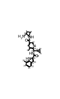 Cc1cc(C(=O)N[C@@H]2CC[C@@H]2N)cnc1C(NC(=O)c1cc2cccc(C)c2[nH]1)C1CC1